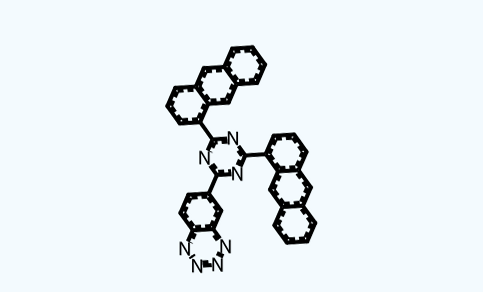 c1ccc2cc3c(-c4nc(-c5ccc6nnnnc6c5)nc(-c5cccc6cc7ccccc7cc56)n4)cccc3cc2c1